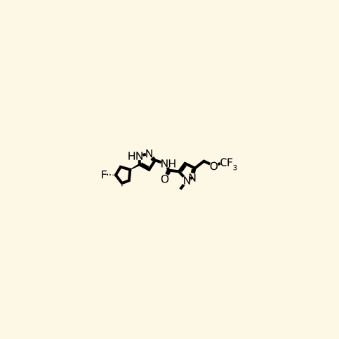 Cn1nc(COC(F)(F)F)cc1C(=O)Nc1cc([C@H]2C[CH][C@H](F)C2)[nH]n1